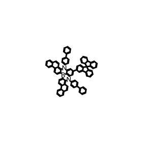 C1=CC2c3ccccc3C3(c4ccccc4-c4cc(-c5cc6c7c(c5)N(c5ccc(-c8ccccc8)cc5)c5c(ccc8c5ccc5ccccc58)B7c5ccc7c(ccc8ccccc87)c5N6c5ccc(-c6ccccc6)cc5)ccc43)C2C=C1